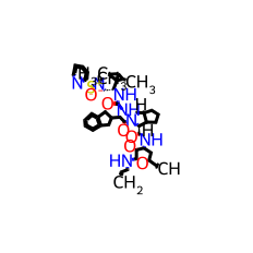 C#CCCC(NC(=O)[C@@H]1[C@H]2CCC[C@H]2CN1C(=O)[C@@H](NC(=O)N[C@H](CN(C)[S+]([O-])c1ccccn1)C12C(C)C1C2C)C1Cc2ccccc2C1)C(=O)C(=O)NCC=C